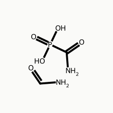 NC(=O)P(=O)(O)O.NC=O